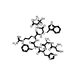 C[C@@H](NC(=O)[C@@H](N)CS)C(=O)N[C@@H](Cc1c[nH]cn1)C(=O)N[C@H](Cc1ccccc1)C(=O)N[C@@H](CCCNC(=N)N)C(=O)N[C@@H](Cc1c[nH]c2ccccc12)C(=O)N[C@H](C(=O)O)C(C)(C)S